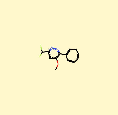 COc1cc(C(F)F)nnc1C1=CCC=CC=C1